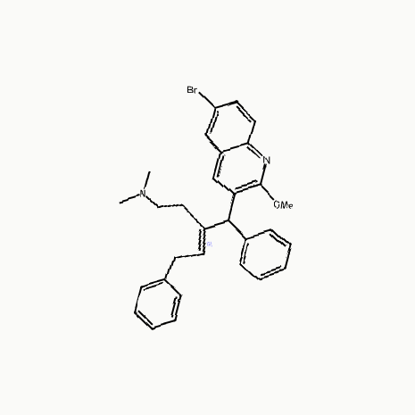 COc1nc2ccc(Br)cc2cc1C(/C(=C/Cc1ccccc1)CCN(C)C)c1ccccc1